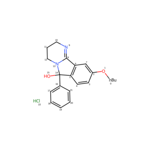 CCCCOc1ccc2c(c1)C1=NCCCN1C2(O)c1ccccc1.Cl